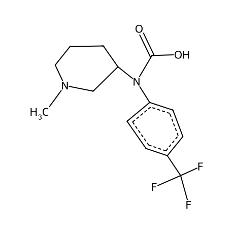 CN1CCCC(N(C(=O)O)c2ccc(C(F)(F)F)cc2)C1